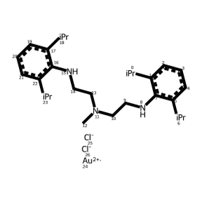 CC(C)c1cccc(C(C)C)c1NCCN(C)CCNc1c(C(C)C)cccc1C(C)C.[Au+2].[Cl-].[Cl-]